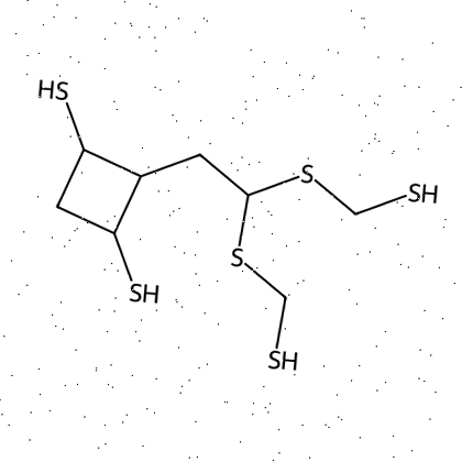 SCSC(CC1C(S)CC1S)SCS